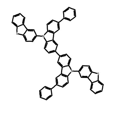 c1ccc(-c2ccc3c(c2)c2cc(-c4ccc5c(c4)c4cc(-c6ccccc6)ccc4n5-c4ccc5sc6ccccc6c5c4)ccc2n3-c2ccc3sc4ccccc4c3c2)cc1